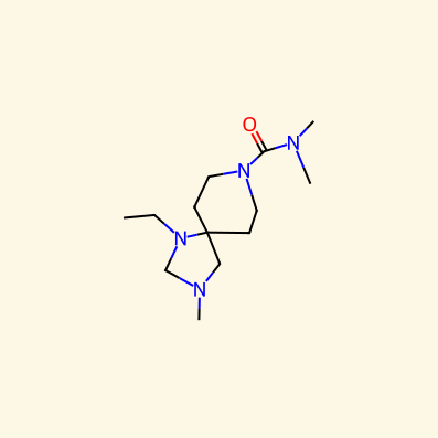 CCN1CN(C)CC12CCN(C(=O)N(C)C)CC2